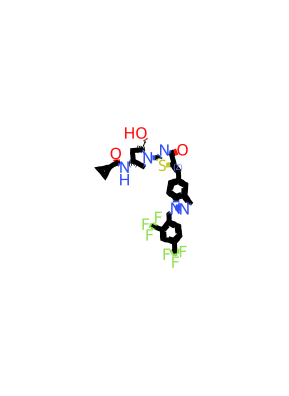 O=C1N=C(N2C[C@H](NC(=O)C3CC3)C[C@@H]2CO)S/C1=C\c1ccc2c(cnn2Cc2ccc(C(F)(F)F)cc2C(F)(F)F)c1